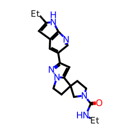 CCNC(=O)N1CCC2(CCn3nc(-c4cnc5[nH]c(CC)cc5c4)cc32)C1